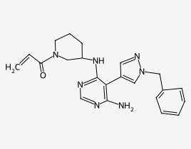 C=CC(=O)N1CCCC(Nc2ncnc(N)c2-c2cnn(Cc3ccccc3)c2)C1